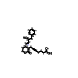 O=C(O)CCCC#CCN1C(=O)OCC[C@@H]1/C=C/C(O)Cc1ccccn1